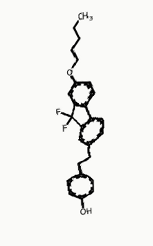 CCCCCOc1ccc2c(c1)C(F)(F)c1cc(CCc3ccc(O)cc3)ccc1-2